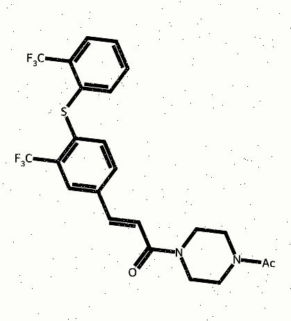 CC(=O)N1CCN(C(=O)C=Cc2ccc(Sc3ccccc3C(F)(F)F)c(C(F)(F)F)c2)CC1